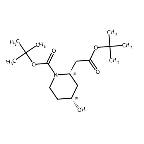 CC(C)(C)OC(=O)C[C@@H]1C[C@H](O)CCN1C(=O)OC(C)(C)C